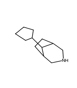 C1CCC(C2C3CCC2CNC3)C1